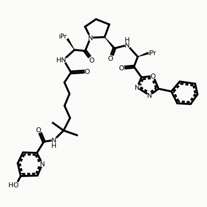 CC(C)[C@H](NC(=O)[C@@H]1CCCN1C(=O)[C@@H](NC(=O)CCCCC(C)(C)NC(=O)c1ccc(O)cn1)C(C)C)C(=O)c1nnc(-c2ccccc2)o1